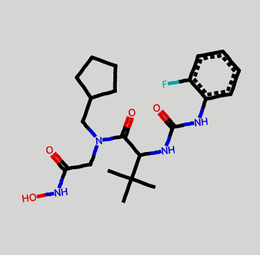 CC(C)(C)C(NC(=O)Nc1ccccc1F)C(=O)N(CC(=O)NO)CC1CCCC1